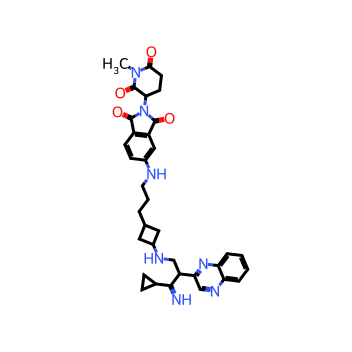 CN1C(=O)CCC(N2C(=O)c3ccc(NCCCC4CC(NCC(C(=N)C5CC5)c5cnc6ccccc6n5)C4)cc3C2=O)C1=O